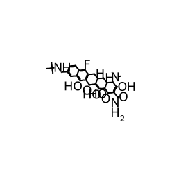 CN(C)[C@@H]1C(O)=C(C(N)=O)C(=O)[C@@]2(O)C(O)=C3C(=O)c4c(c(F)c5ccc(CNC(C)(C)C)cc5c4O)C[C@H]3C[C@@H]12